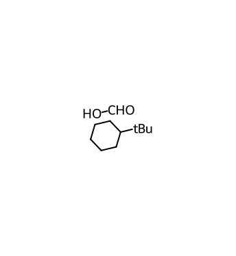 CC(C)(C)C1CCCCC1.O=CO